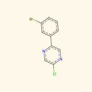 Clc1cnc(-c2cc[c]c(Br)c2)cn1